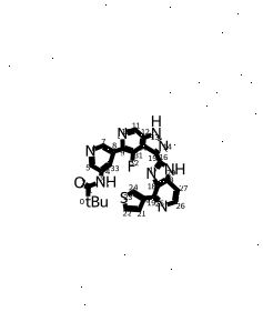 CC(C)(C)C(=O)Nc1cncc(-c2ncc3[nH]nc(-c4nc5c(-c6ccsc6)nccc5[nH]4)c3c2F)c1